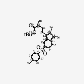 Cc1ccc(S(=O)(=O)c2ccc3c(c2)c(CCN(C)C(=O)OC(C)(C)C)c(C)n3C)cc1